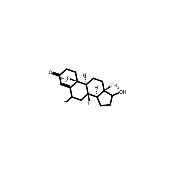 C[C@]12CCC(=O)C=C1C(F)C[C@@H]1[C@@H]2CC[C@]2(C)C(O)CC[C@@H]12